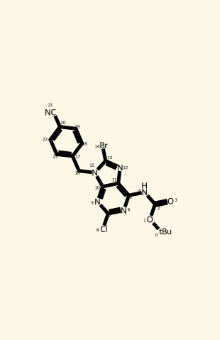 CC(C)(C)OC(=O)Nc1nc(Cl)nc2c1nc(Br)n2Cc1ccc(C#N)cc1